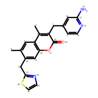 Cc1cc2c(C)c(Cc3ccnc(N)c3)c(=O)oc2cc1Cc1nccs1